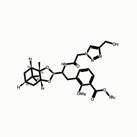 COc1c(CC(NC(=O)Cn2cc(CO)nn2)B2O[C@@H]3C[C@@H]4C[C@@H](C4(C)C)[C@]3(C)O2)cccc1C(=O)OC(C)(C)C